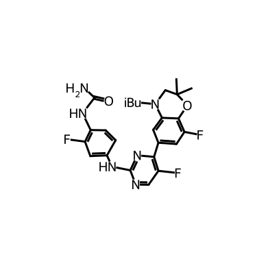 CCC(C)N1CC(C)(C)Oc2c(F)cc(-c3nc(Nc4ccc(NC(N)=O)c(F)c4)ncc3F)cc21